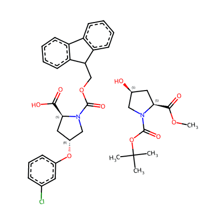 COC(=O)[C@@H]1C[C@H](O)CN1C(=O)OC(C)(C)C.O=C(O)[C@@H]1C[C@@H](Oc2cccc(Cl)c2)CN1C(=O)OCC1c2ccccc2-c2ccccc21